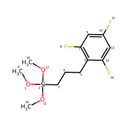 CO[Si](CCCc1c(F)cc(F)cc1F)(OC)OC